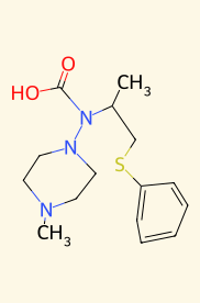 CC(CSc1ccccc1)N(C(=O)O)N1CCN(C)CC1